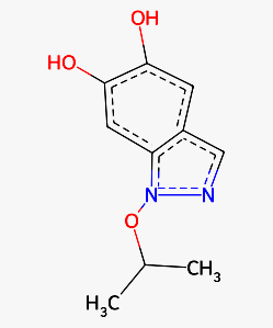 CC(C)On1ncc2cc(O)c(O)cc21